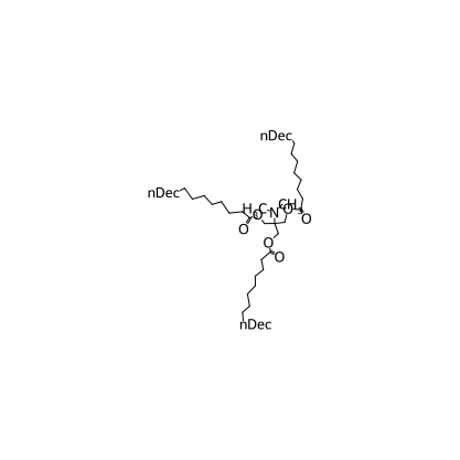 CCCCCCCCCCCCCCCCCC(=O)OCC(COC(=O)CCCCCCCCCCCCCCCCC)(COC(=O)CCCCCCCCCCCCCCCCC)N(C)C